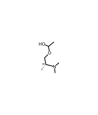 CC(O)OC[C@@H](C)N(C)C